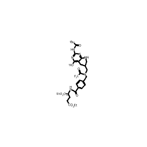 CCOC(=O)CC[C@H](NC(=O)c1ccc(CN(CC2CNc3nc(NC(=O)C(C)(C)C)nc(O)c3C2)C(=O)C(F)(F)F)cc1)C(=O)OCC